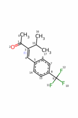 CC(=O)/C(=C/c1ccc(C(F)(F)F)cc1)C(C)C